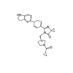 O=C(C1CC1)N1CC[C@@H](CN2C(=O)C3(CC3)N=C2C2=CCC(c3ccc4c(c3)CCN4)C=C2)C1